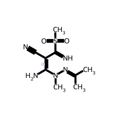 CC(C)=NN(C)/C(N)=C(/C#N)C(=N)S(C)(=O)=O